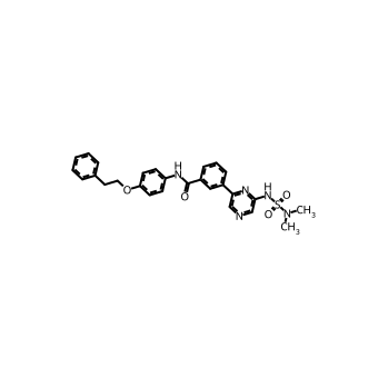 CN(C)S(=O)(=O)Nc1cncc(-c2cccc(C(=O)Nc3ccc(OCCc4ccccc4)cc3)c2)n1